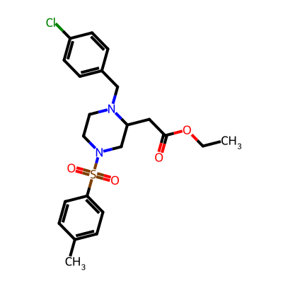 CCOC(=O)CC1CN(S(=O)(=O)c2ccc(C)cc2)CCN1Cc1ccc(Cl)cc1